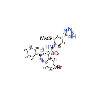 CSc1cc(-c2nnn[nH]2)ccc1NC(=O)c1c(C)c(-c2ccccc2)nc2ccc(Br)cc12